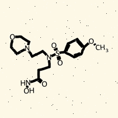 COc1ccc(S(=O)(=O)N(CCC(=O)NO)CCN2CCOCC2)cc1